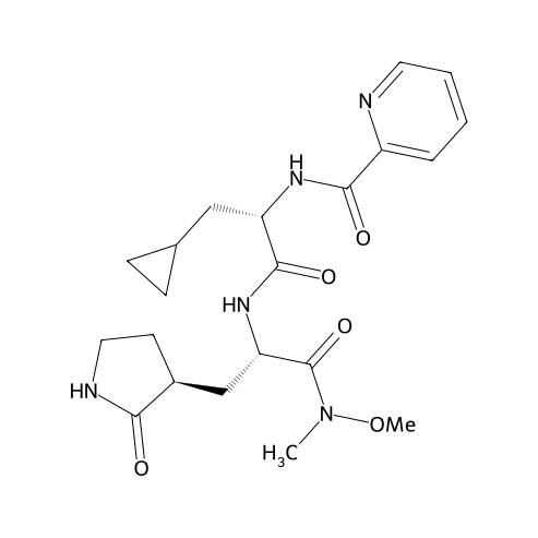 CON(C)C(=O)[C@H](C[C@@H]1CCNC1=O)NC(=O)[C@H](CC1CC1)NC(=O)c1ccccn1